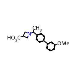 COc1cccc(-c2ccc(C(C)N3CC(C(=O)O)C3)cc2)c1